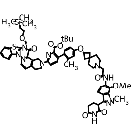 COc1c(NC(=O)CN2CCC3(CC2)CC(Oc2ccc(-c4ccc(N5CCc6ccnc(C(=O)N(COCC[Si](C)(C)C)c7nc8ccccc8s7)c6C5)nc4C(=O)OC(C)(C)C)c(C)c2)C3)ccc2c(C3CCC(=O)NC3=O)nn(C)c12